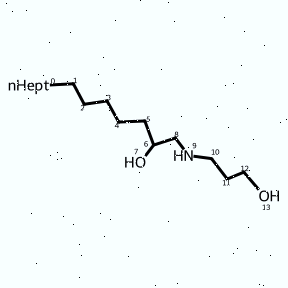 CCCCCCCCCCCCC(O)CNCCCO